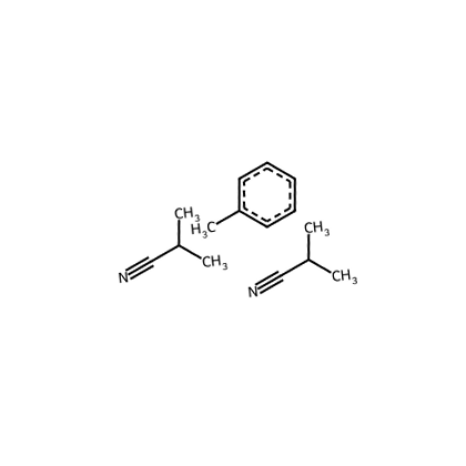 CC(C)C#N.CC(C)C#N.Cc1ccccc1